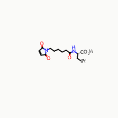 CC(C)C[C@H](NC(=O)CCCCCN1C(=O)C=CC1=O)C(=O)O